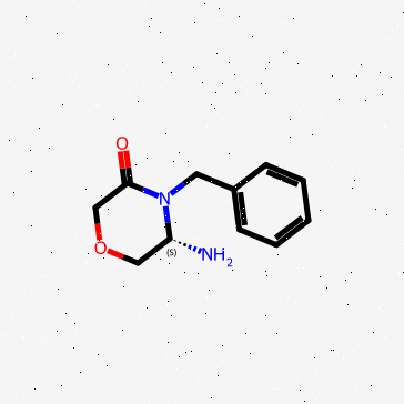 N[C@@H]1COCC(=O)N1Cc1ccccc1